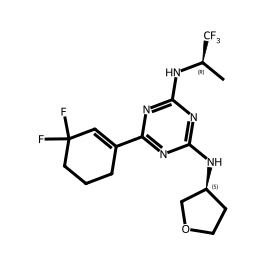 C[C@@H](Nc1nc(N[C@H]2CCOC2)nc(C2=CC(F)(F)CCC2)n1)C(F)(F)F